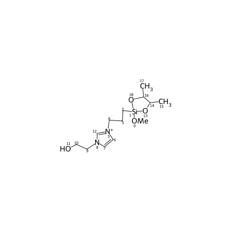 CO[Si]1(CCC[n+]2ccn(CCO)c2)OC(C)C(C)O1